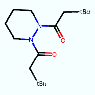 CC(C)(C)CC(=O)N1CCCCN1C(=O)CC(C)(C)C